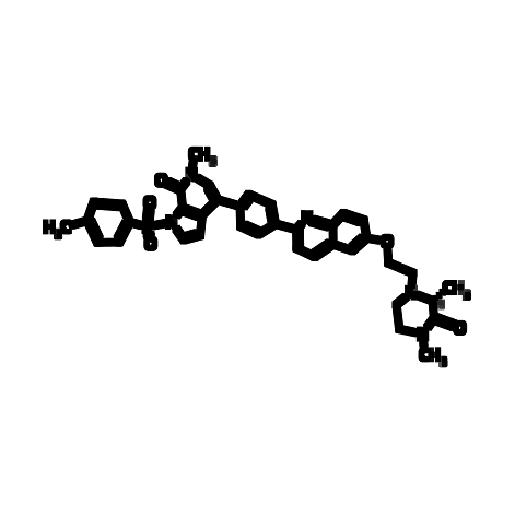 Cc1ccc(S(=O)(=O)n2ccc3c(-c4ccc(-c5ccc6cc(OCCN7CCN(C)C(=O)[C@H]7C)ccc6n5)cc4)cn(C)c(=O)c32)cc1